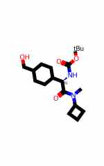 CN(C(=O)[C@@H](NC(=O)OC(C)(C)C)C1CCC(CO)CC1)C1CCC1